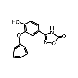 O=c1[nH]c(-c2ccc(O)c(Oc3ccccc3)c2)no1